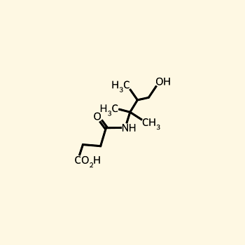 CC(CO)C(C)(C)NC(=O)CCC(=O)O